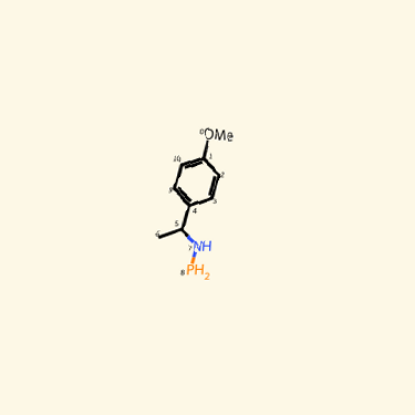 COc1ccc(C(C)NP)cc1